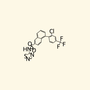 O=S(=O)(Nc1ncns1)c1ccc2c(-c3ccc(C(F)(F)F)cc3Cl)cccc2c1